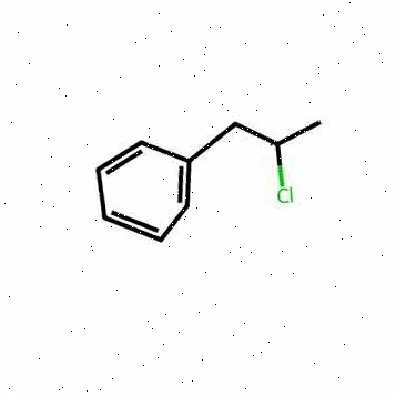 C[C](Cl)Cc1ccccc1